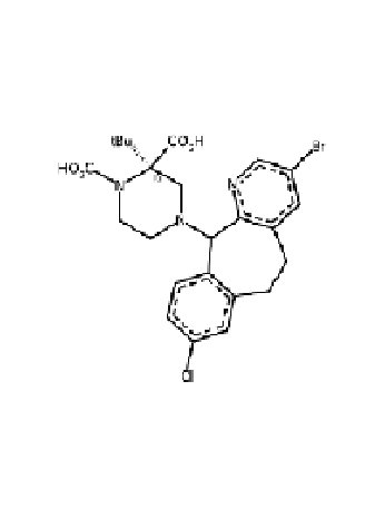 CC(C)(C)[C@]1(C(=O)O)CN(C2c3ccc(Cl)cc3CCc3cc(Br)cnc32)CCN1C(=O)O